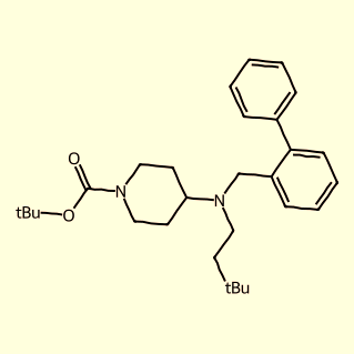 CC(C)(C)CCN(Cc1ccccc1-c1ccccc1)C1CCN(C(=O)OC(C)(C)C)CC1